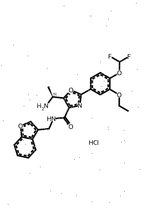 CCOc1cc(-c2nc(C(=O)NCc3coc4ccccc34)c([C@H](C)N)o2)ccc1OC(F)F.Cl